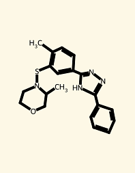 Cc1ccc(-c2nnc(-c3ccccc3)[nH]2)cc1SN1CCOCC1C